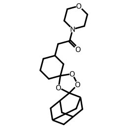 O=C(CC1CCCC2(C1)OOC1(O2)C2CC3CC(C2)CC1C3)N1CCOCC1